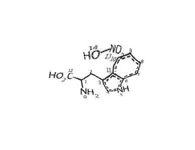 NC(Cc1c[nH]c2ccccc12)C(=O)O.O=[N+]([O-])O